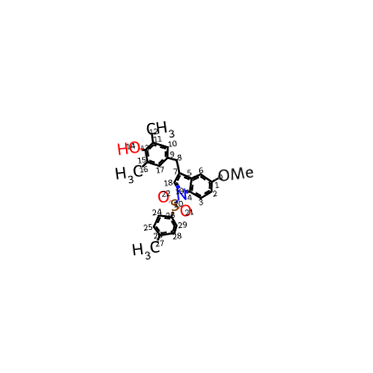 COc1ccc2c(c1)c(Cc1cc(C)c(O)c(C)c1)cn2S(=O)(=O)c1ccc(C)cc1